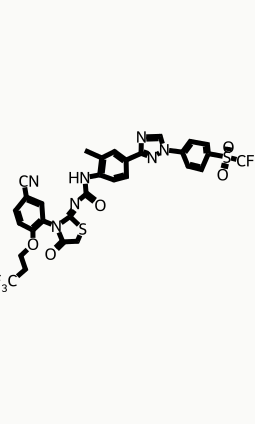 Cc1cc(-c2ncn(-c3ccc(S(=O)(=O)C(F)(F)F)cc3)n2)ccc1NC(=O)/N=C1\SCC(=O)N1c1cc(C#N)ccc1OCCC(F)(F)F